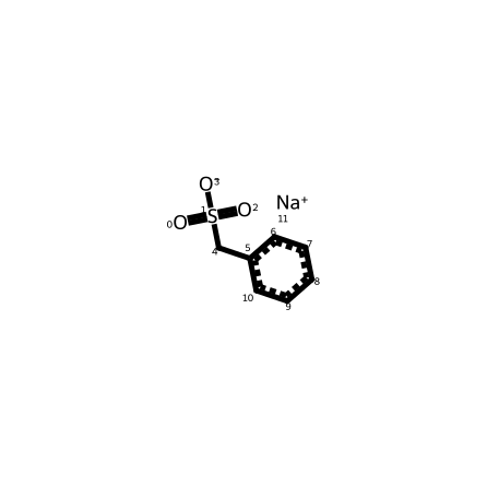 O=S(=O)([O-])Cc1ccccc1.[Na+]